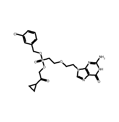 Nc1nc2c(ncn2CCOCCP(=O)(OCC(=O)C2CC2)OCc2cccc(Cl)c2)c(=O)[nH]1